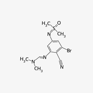 CN(C)C=Nc1cc(N=S(C)(C)=O)cc(Br)c1C#N